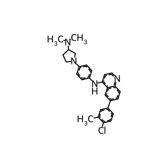 Cc1cc(-c2ccc3nccc(Nc4ccc(N5CCC(N(C)C)C5)cc4)c3c2)ccc1Cl